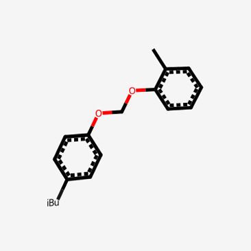 CCC(C)c1ccc(OCOc2ccccc2C)cc1